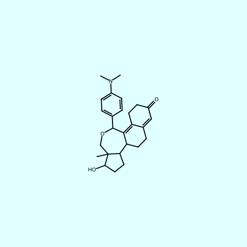 CN(C)c1ccc(C2OCC3(C)C(O)CCC3C3CCC4=CC(=O)CCC4=C23)cc1